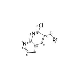 Clc1nc2ncccc2cc1CBr